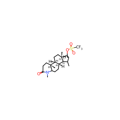 CC1C=C(OS(=O)(=O)C(F)(F)F)[C@@]2(C)CC[C@@H]3[C@@H](CCC4N(C)C(=O)CC[C@@]43C)[C@H]12